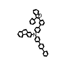 c1ccc(-c2ccc(-c3ccc(N(c4ccc(-c5cccc(-c6oc7ccccc7c6-c6ccccc6)c5)cc4)c4ccc5c(ccc6ccccc65)c4)cc3)cc2)cc1